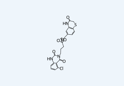 O=C1CSc2ccc(N3CC4(CCCn5c(=O)[nH]c6cccc(Cl)c6c5=O)OC3O4)cc2N1